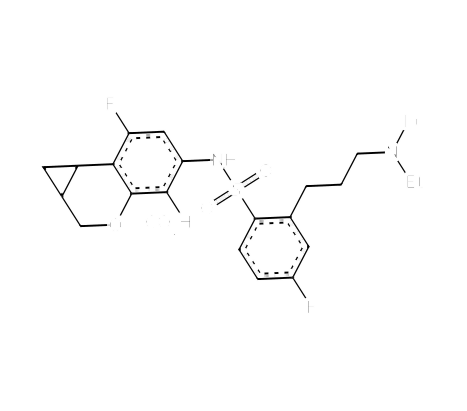 CCN(CC)CCCc1cc(F)ccc1S(=O)(=O)Nc1cc(F)c2c(c1C(=O)O)OCC1CC21